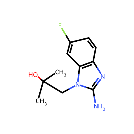 CC(C)(O)Cn1c(N)nc2ccc(F)cc21